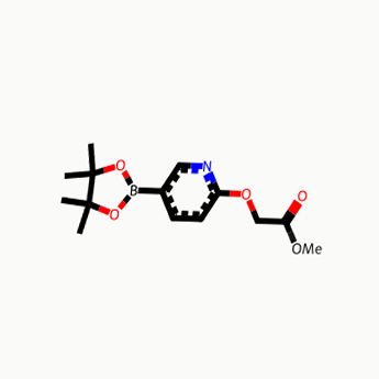 COC(=O)COc1ccc(B2OC(C)(C)C(C)(C)O2)cn1